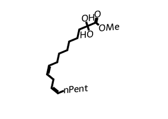 CCCCC/C=C\C/C=C\CCCCCCC(O)(O)C(=O)OC